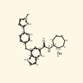 Cn1ccc(-c2ccc(Cc3cc(C(=O)N[C@H]4CCCCC[C@@H]4O)nc4ccsc34)cn2)n1